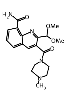 COC(OC)c1nc2c(C(N)=O)cccc2cc1C(=O)N1CCN(C)CC1